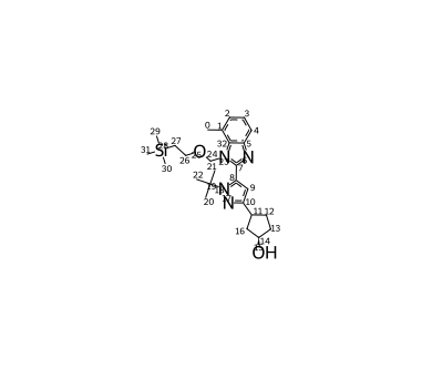 Cc1cccc2nc(-c3cc(C4CC[C@@H](O)C4)nn3C(C)(C)C)n(COCC[Si](C)(C)C)c12